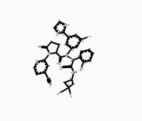 N#Cc1ccnc(N2C(=O)CCC2C(=O)N(c2cc(F)cc(-c3ncco3)c2)[C@H](C(=O)NC2CC(F)(F)C2)c2ccccc2Cl)c1